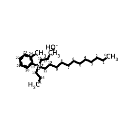 CCCCCCCCCCCC[N+](CCC)(CCC)c1ccccc1C.[OH-]